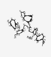 CCCCn1c(CN(Cc2ccc3c(c2)OCO3)Cc2ccc(C)nc2Oc2ccc(C)cc2)cnc1-c1ccc(F)cc1